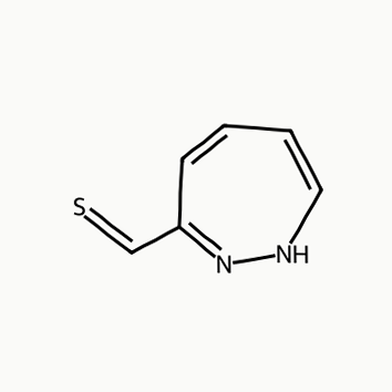 S=CC1=NNC=CC=C1